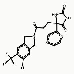 O=C1NC(=O)[C@](CCC(=O)N2Cc3cc(Cl)c(C(F)(F)F)cc3C2)(c2ccccn2)N1